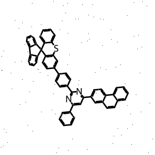 c1ccc(-c2cc(-c3ccc4c(ccc5ccccc54)c3)nc(-c3ccc(-c4ccc5c(c4)Sc4ccccc4C54c5ccccc5-c5ccccc54)cc3)n2)cc1